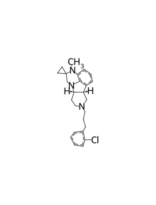 CN1c2cccc3c2N(CC12CC2)[C@H]1CCN(CCCc2ccccc2Cl)C[C@@H]31